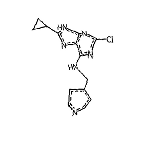 Clc1nc(NCc2ccncc2)c2nc(C3CC3)[nH]c2n1